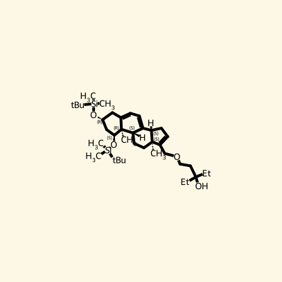 CCC(O)(CC)CCOCC1=CC[C@H]2C3=CC=C4C[C@@H](O[Si](C)(C)C(C)(C)C)C[C@H](O[Si](C)(C)C(C)(C)C)[C@]4(C)[C@H]3CC[C@]12C